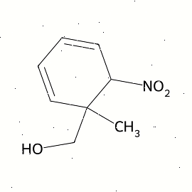 CC1(CO)C=CC=CC1[N+](=O)[O-]